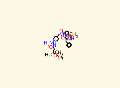 CC(C)C(=O)OC(C)(C)CCC(=O)N=C(N)N1CCC(CNC(=O)[C@@H]2CCCN2C(=O)[C@@H](Cc2ccccc2)NS(C)(=O)=O)CC1